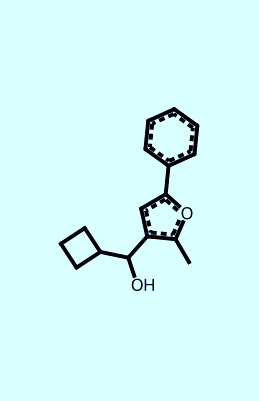 Cc1oc(-c2ccccc2)cc1C(O)C1CCC1